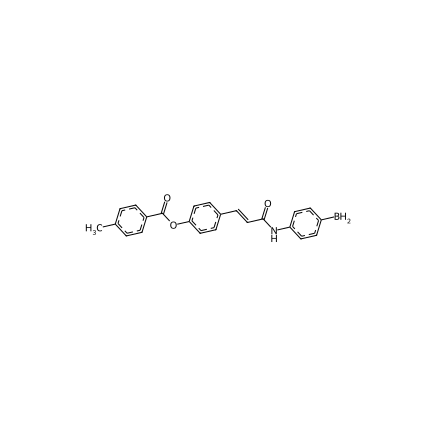 Bc1ccc(NC(=O)/C=C/c2ccc(OC(=O)c3ccc(C)cc3)cc2)cc1